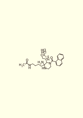 CCC(S)C1N(C(=O)c2cccc3ccccc23)CCNC1(N)CCCCNC(C)=O.Cl.Cl